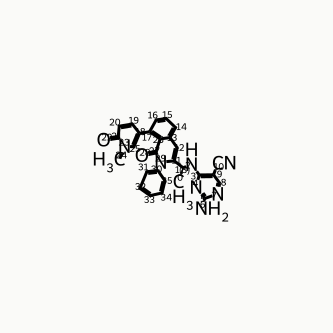 C[C@H](Nc1nc(N)ncc1C#N)c1cc2cccc(-c3ccc(=O)n(C)c3)c2c(=O)n1-c1ccccc1